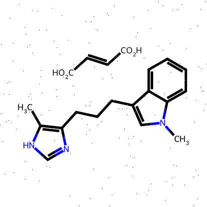 Cc1[nH]cnc1CCCc1cn(C)c2ccccc12.O=C(O)C=CC(=O)O